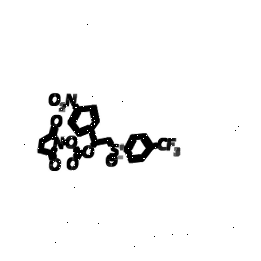 O=C(OC(C[S+]([O-])c1ccc(C(F)(F)F)cc1)c1ccc([N+](=O)[O-])cc1)ON1C(=O)CCC1=O